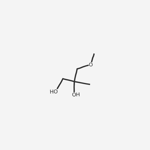 COCC(C)(O)CO